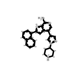 Nc1ncc(-c2cnn(C3CCNCC3)c2)c2cc(-c3cccc4ccccc34)oc12